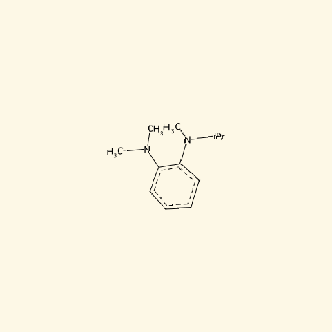 CC(C)N(C)c1ccccc1N(C)C